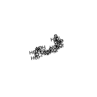 CC(C)c1cc(-c2nnc(O)n2-c2ccc(CN3CCN(C(=O)Cc4ccc(CN(C(=O)O)c5cccc6c5CN(C5CCC(=O)NC5=O)C6=O)cc4)CC3)c(F)c2)c(O)cc1O